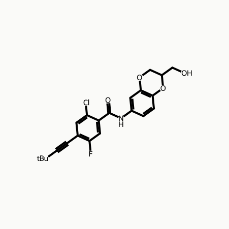 CC(C)(C)C#Cc1cc(Cl)c(C(=O)Nc2ccc3c(c2)OCC(CO)O3)cc1F